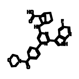 O=C(O)C1C2CCC(CC2)C1Nc1cc(-c2ccc(C(=O)N3CCOCC3)cc2)nc(-c2c[nH]c3ncc(F)cc23)n1